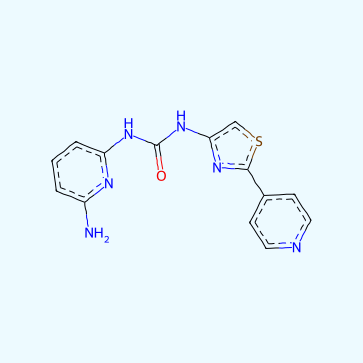 Nc1cccc(NC(=O)Nc2csc(-c3ccncc3)n2)n1